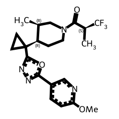 COc1ccc(-c2nnc(C3([C@@H]4CCN(C(=O)[C@H](C)C(F)(F)F)C[C@@H]4C)CC3)o2)cn1